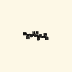 CCC(CC)COCC[C@H](N)C(=O)OCC(CC)CC